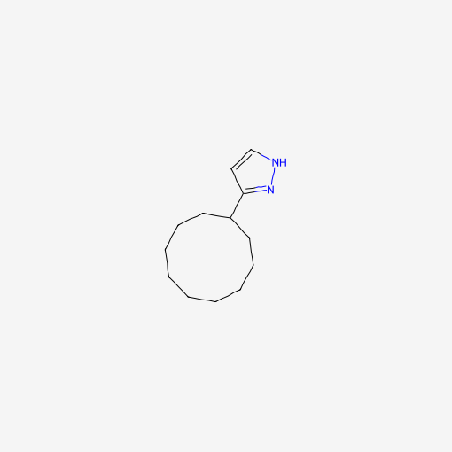 c1cc(C2CCCCCCCCC2)n[nH]1